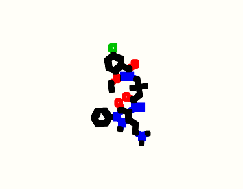 CCOc1ccc(Cl)cc1C(=O)NCC(C)(C)CC(=O)Nc1c(CCN(C)C)n(C)n(-c2ccccc2)c1=O